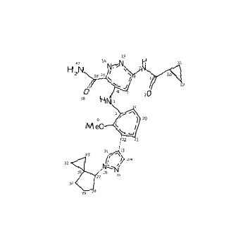 COc1c(Nc2cc(NC(=O)C3CC3)nnc2C(N)=O)cccc1-c1cnn(C2CCCC23CC3)c1